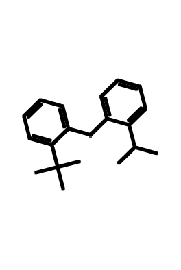 CC(C)c1ccccc1[CH]c1ccccc1C(C)(C)C